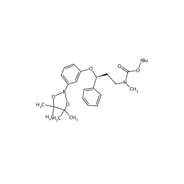 CN(CC[C@H](Oc1cccc(B2OC(C)(C)C(C)(C)O2)c1)c1ccccc1)C(=O)OC(C)(C)C